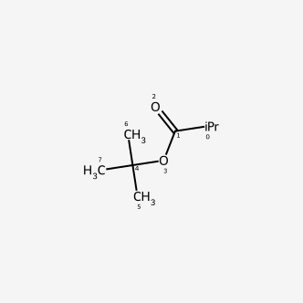 [CH2]C(C)C(=O)OC(C)(C)C